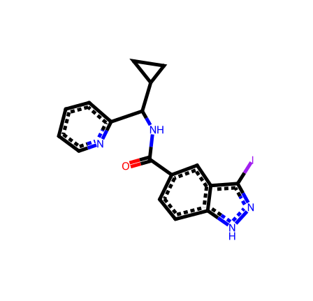 O=C(NC(c1ccccn1)C1CC1)c1ccc2[nH]nc(I)c2c1